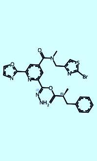 C=C(O/C(=N\N)c1cc(C(=O)N(C)Cc2csc(Br)n2)cc(-c2ncco2)n1)[C@@H](C)Cc1ccccc1